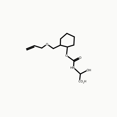 C=CCOCC1CCCCC1OC(=O)NC(O)C(=O)O